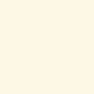 F.F.O=C(O)c1cccc(-c2cccc(C(=O)O)c2)c1